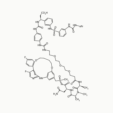 CCCNC(=O)Nc1cccc(S(=O)(=O)Nc2cccc([C@H](CC(=O)O)NC(=O)Nc3ccc(NC(=O)NCCOCCOCCOCCC(=O)N[C@@H](C)C(=O)N(C)[C@@H](C)C(=O)N[C@@H](CC(N)=O)C(=O)N=S(C)(=O)Cc4cc5cc(c4)OCCCCOc4cc(F)ccc4-c4nc(ncc4F)N5)cc3)c2)c1